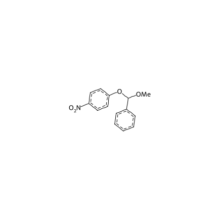 COC(Oc1ccc([N+](=O)[O-])cc1)c1ccccc1